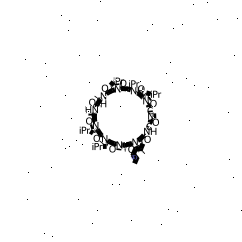 C/C=C/C[C@@H](C)C[C@H]1C(=O)NCC(=O)N(C)CC(=O)N(C)[C@@H](CC(C)C)C(=O)NC(C(C)C)C(=O)N(C)[C@@H](CC(C)C)C(=O)N[C@@H](C)C(=O)N[C@H](C)C(=O)N(C)[C@@H](CC(C)C)C(=O)N(C)[C@@H](CC(C)C)C(=O)N(C)[C@@H](C)C(=O)N1C